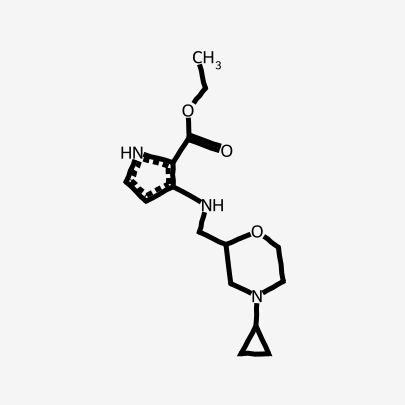 CCOC(=O)c1[nH]ccc1NCC1CN(C2CC2)CCO1